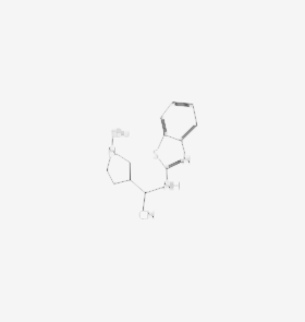 CC(C)(C)N1CCC(C(C#N)Nc2nc3ccccc3s2)C1